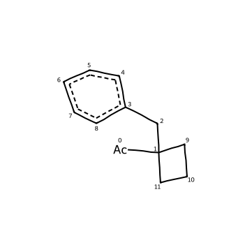 CC(=O)C1(Cc2ccccc2)CCC1